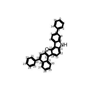 c1ccc(-c2ccc3c(c2)[nH]c2ccc4c(oc5cc(-c6ccccc6)c6ccccc6c54)c23)cc1